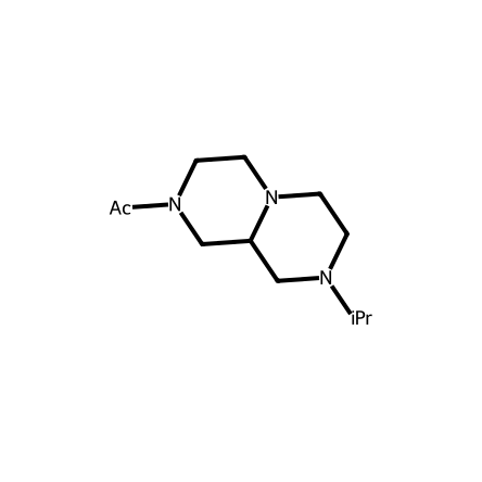 CC(=O)N1CCN2CCN(C(C)C)CC2C1